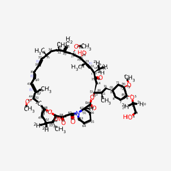 [2H]C([2H])(CO)O[C@@H]1CC[C@@H](C[C@@H](C)[C@@H]2CC(=O)[C@H](C([2H])([2H])[2H])/C=C(\C)[C@@H](O)[C@@H](OC)C(=C)[C@H](C)C[C@H](C)/C=C/C=C/C=C(\C)[C@@H](OC)C[C@@H]3CC([2H])([2H])[C@@H](C)[C@@](O)(O3)C(=O)C(=O)N3CCCC[C@H]3C(=O)O2)C[C@H]1OC